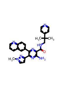 Cn1ccc(-c2nc(N)c(C(=O)NCC(C)(C)c3ccncc3)nc2-c2ccc3ncccc3c2)n1